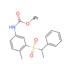 Cc1ccc(NC(=O)OC(C)C)cc1S(=O)(=O)C(C)c1ccccc1